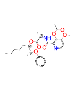 CCCCC[C@H](OC(=O)[C@H](C)NC(=O)c1nccc(OC)c1OC(C)=O)[C@@H](C)Oc1ccccc1